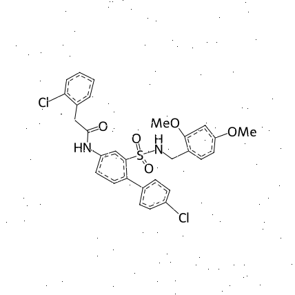 COc1ccc(CNS(=O)(=O)c2cc(NC(=O)Cc3ccccc3Cl)ccc2-c2ccc(Cl)cc2)c(OC)c1